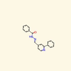 O=C(NN=Cc1ccnc(-c2ccccc2)c1)c1ccccc1